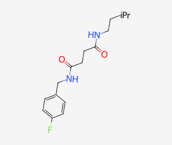 CC(C)CCNC(=O)CCC(=O)NCc1ccc(F)cc1